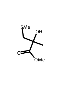 COC(=O)C(C)(O)CSC